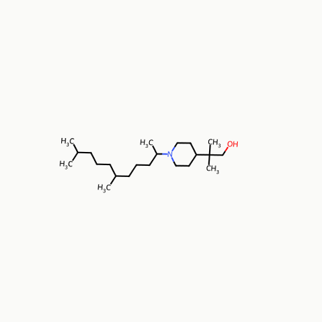 CC(C)CCCC(C)CCCC(C)N1CCC(C(C)(C)CO)CC1